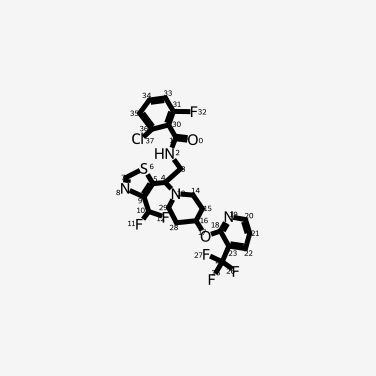 O=C(NCC(c1scnc1C(F)F)N1CCC(Oc2ncccc2C(F)(F)F)CC1)c1c(F)cccc1Cl